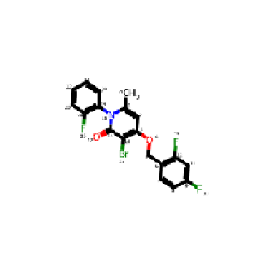 Cc1cc(OCc2ccc(F)cc2F)c(Br)c(=O)n1-c1[c]cccc1F